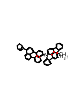 CC1(C)c2ccccc2-c2ccc(N(c3ccc(-c4ccc(C5CC6CCC5C6)c5cccc(-c6ccccc6)c45)cc3)c3ccccc3-c3ccccc3)cc21